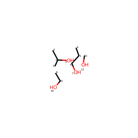 CC(C)O.CCCO.CCO.CO